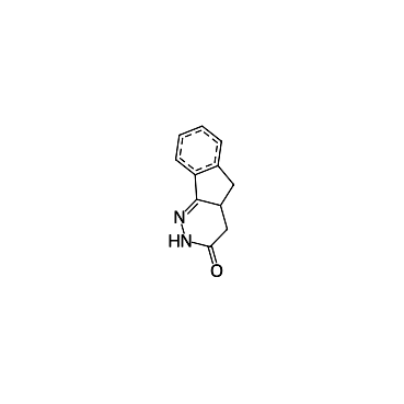 O=C1CC2Cc3ccccc3C2=NN1